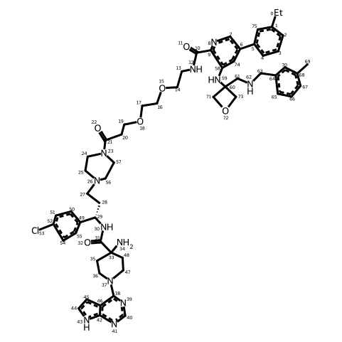 CCc1cccc(-c2cnc(C(=O)NCCOCCOCCC(=O)N3CCN(CC[C@H](NC(=O)C4(N)CCN(c5ncnc6[nH]ccc56)CC4)c4ccc(Cl)cc4)CC3)c(NC3(CNCc4cccc(C)c4)COC3)c2)c1